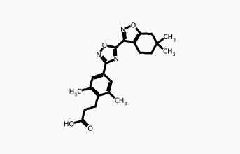 Cc1cc(-c2noc(-c3noc4c3CCC(C)(C)C4)n2)cc(C)c1CCC(=O)O